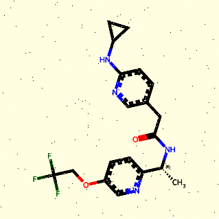 C[C@@H](NC(=O)Cc1ccc(NC2CC2)nc1)c1ccc(OCC(F)(F)F)cn1